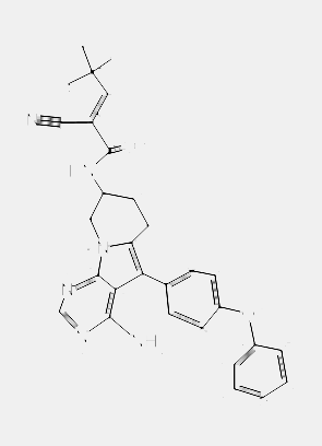 CC(C)(C)C=C(C#N)C(=O)NC1CCc2c(-c3ccc(Oc4ccccc4)cc3)c3c(N)ncnc3n2C1